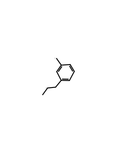 [CH2]c1cccc(C[CH]C)c1